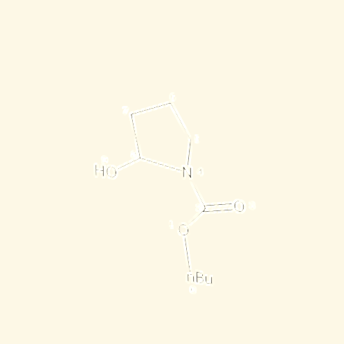 CCCCOC(=O)N1CCCC1O